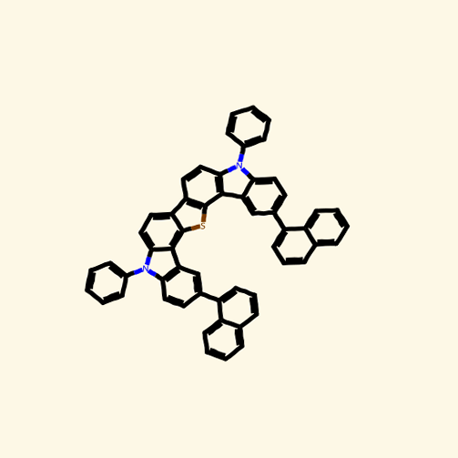 c1ccc(-n2c3ccc(-c4cccc5ccccc45)cc3c3c4sc5c(ccc6c5c5cc(-c7cccc8ccccc78)ccc5n6-c5ccccc5)c4ccc32)cc1